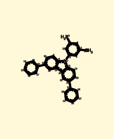 Bc1cc(B)cc(-n2c3ccc(-c4ccccc4)cc3c3cc(-c4ccccc4)ccc32)c1